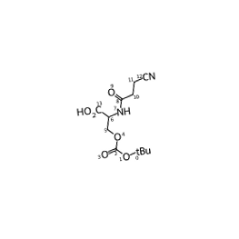 CC(C)(C)OC(=O)OCC(NC(=O)CCC#N)C(=O)O